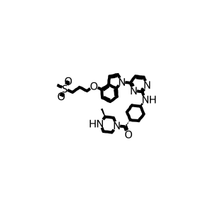 C[C@H]1CN(C(=O)[C@H]2CC[C@H](Nc3nccc(-n4ccc5c(OCCCS(C)(=O)=O)cccc54)n3)CC2)CCN1